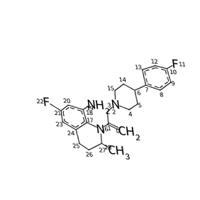 C=C(CN1CCC(c2ccc(F)cc2)CC1)N1c2c(N)cc(F)cc2CCC1C